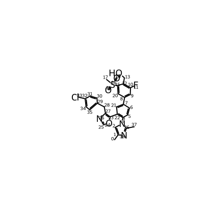 Cc1cn(-c2ccc(-c3cc(F)c(CO)c(S(C)(=O)=O)c3)cc2-c2ocnc2Cc2ccc(Cl)cc2)c(C)n1